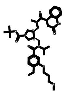 CCc1ccc(C(=O)N(C[C@@H]2CN(C(=O)OC(C)(C)C)C[C@H]2CN(C)C(=O)C2CC(=O)Nc3ccccc32)C(C)C)cc1OCCCOC